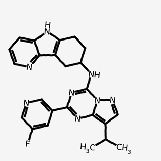 CC(C)c1cnn2c(NC3CCc4[nH]c5cccnc5c4C3)nc(-c3cncc(F)c3)nc12